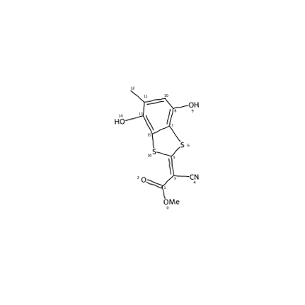 COC(=O)/C(C#N)=C1/Sc2c(O)cc(C)c(O)c2S1